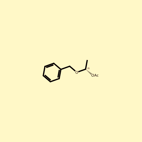 CC(=O)O[C@@H](C)OCc1ccccc1